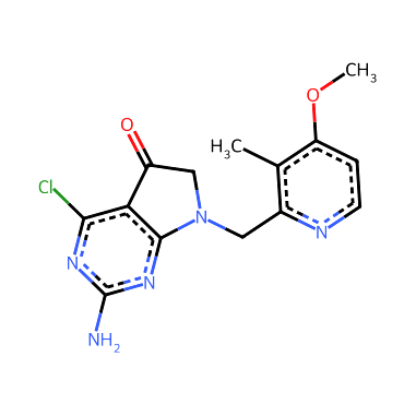 COc1ccnc(CN2CC(=O)c3c(Cl)nc(N)nc32)c1C